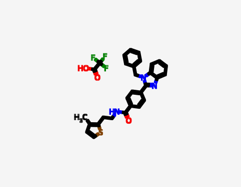 Cc1ccsc1CCNC(=O)c1ccc(-c2nc3ccccc3n2Cc2ccccc2)cc1.O=C(O)C(F)(F)F